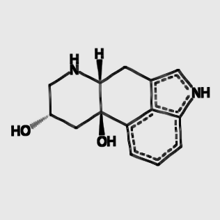 O[C@@H]1CN[C@@H]2Cc3c[nH]c4cccc(c34)[C@]2(O)C1